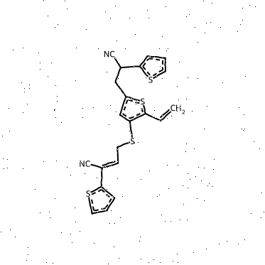 C=Cc1sc(CC(C#N)c2cccs2)cc1SC/C=C(\C#N)c1cccs1